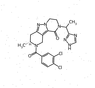 CC(c1nc[nH]n1)N1CCn2nc3c(c2C1=O)CN(C(=O)c1ccc(Cl)c(Cl)c1)[C@H](C)C3